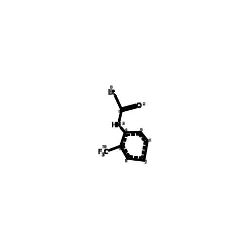 CCC(=O)Nc1cc[c]cc1C(F)(F)F